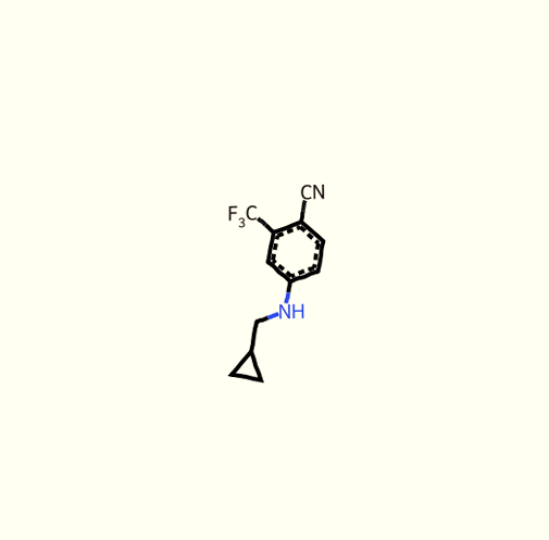 N#Cc1ccc(NCC2CC2)cc1C(F)(F)F